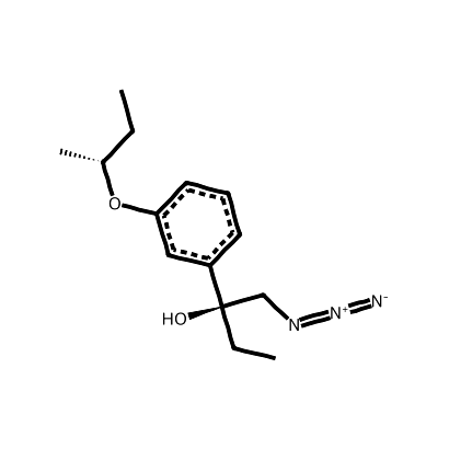 CC[C@@H](C)Oc1cccc([C@@](O)(CC)CN=[N+]=[N-])c1